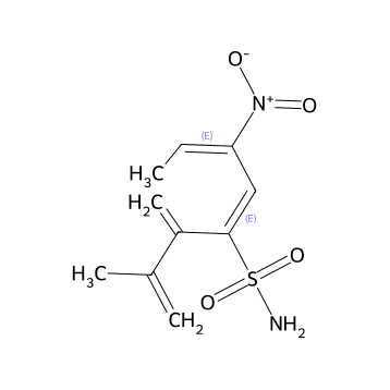 C=C(C)C(=C)/C(=C\C(=C/C)[N+](=O)[O-])S(N)(=O)=O